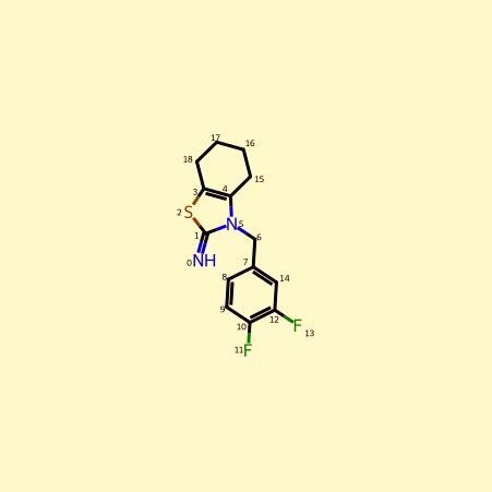 N=c1sc2c(n1Cc1ccc(F)c(F)c1)CCCC2